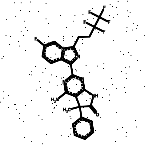 CC1(c2ccccc2)C(=O)Nc2nc(-c3nc(CCC(F)(F)C(F)(F)F)n4cc(F)ccc34)nc(N)c21